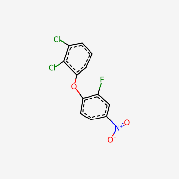 O=[N+]([O-])c1ccc(Oc2cccc(Cl)c2Cl)c(F)c1